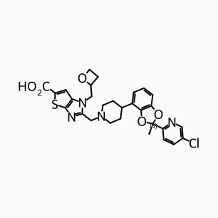 C[C@]1(c2ccc(Cl)cn2)Oc2cccc(C3CCN(Cc4nc5sc(C(=O)O)cc5n4CC4CCO4)CC3)c2O1